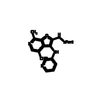 CCCCCNc1oc2c(C)ncc(C=O)c2c1Nc1cccnc1